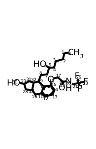 CCCCCC(O)CCC1c2c(cccc2OCC(=O)NCC(F)(F)F)CC2CC(O)CC21